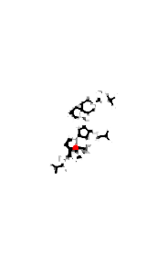 CC(C)C(=O)Nc1ncnc2c1ccn2[C@@H]1C[C@H](CN2CC(F)(F)CC23CCN(C(=O)OC(C)(C)C)CC3)[C@@H](OC(=O)C(C)C)[C@H]1OC(=O)C(C)C